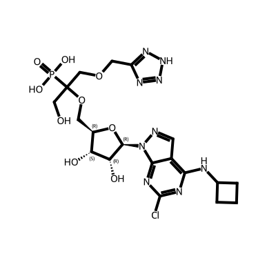 O=P(O)(O)C(CO)(COCc1nn[nH]n1)OC[C@H]1O[C@@H](n2ncc3c(NC4CCC4)nc(Cl)nc32)[C@H](O)[C@@H]1O